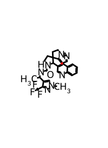 CC(NC(=O)N1CCC2(CCn3nccc32)C1c1cnc2ccccc2c1)c1cn(C)nc1C(F)(F)F